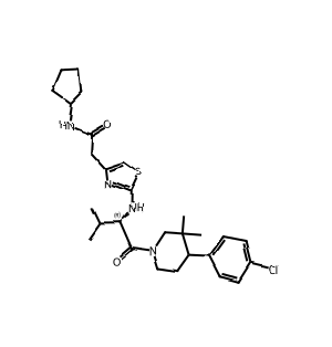 CC(C)[C@@H](Nc1nc(CC(=O)NC2CCCC2)cs1)C(=O)N1CCC(c2ccc(Cl)cc2)C(C)(C)C1